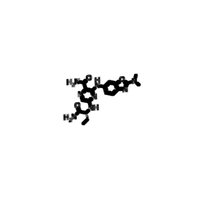 CC[C@@H](Nc1cnc(C(N)=O)c(Nc2ccc3nc(N(C)C)oc3c2)n1)C(N)=O